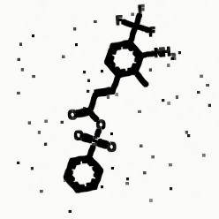 Cc1c(/C=C/C(=O)OS(=O)(=O)c2ccccc2)ccc(C(F)(F)F)c1N